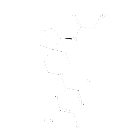 CC(=O)c1nc(Br)c(N)nc1N1CCC2(CC1)COC[C@H]2NC(=O)OC(C)(C)C